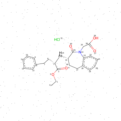 CCOC(=O)[C@H](CCc1ccccc1)[AsH][C@H]1CCc2ccccc2N(CC(=O)O)C1=O.Cl